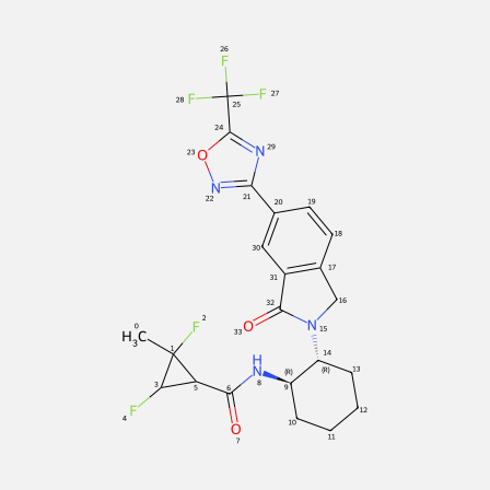 CC1(F)C(F)C1C(=O)N[C@@H]1CCCC[C@H]1N1Cc2ccc(-c3noc(C(F)(F)F)n3)cc2C1=O